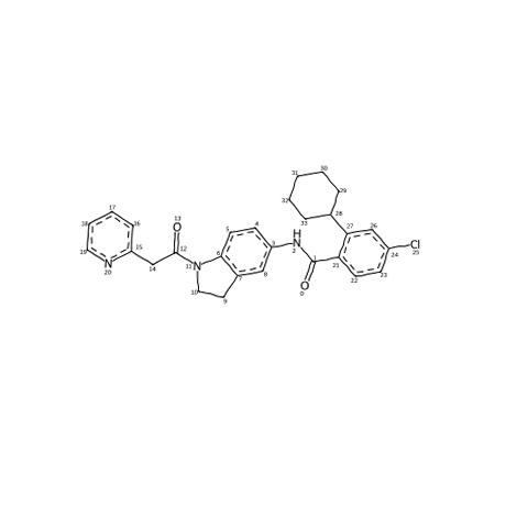 O=C(Nc1ccc2c(c1)CCN2C(=O)Cc1ccccn1)c1ccc(Cl)cc1C1CCCCC1